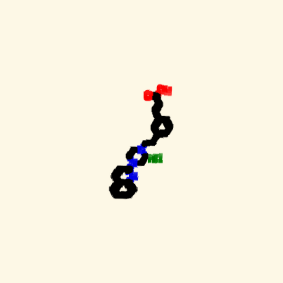 Cl.O=C(O)C=Cc1cccc(CCN2CCN(c3ccc4ccccc4n3)CC2)c1